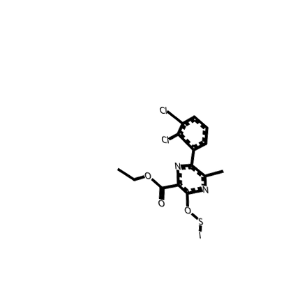 CCOC(=O)c1nc(-c2cccc(Cl)c2Cl)c(C)nc1OSI